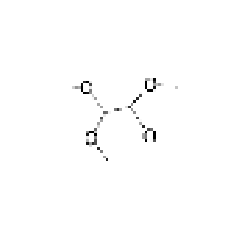 CO[C](OC)C(OC)OC